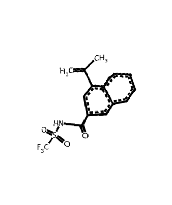 C=C(C)c1cc(C(=O)NS(=O)(=O)C(F)(F)F)cc2ccccc12